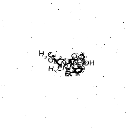 C=CC(=O)N1CCN(c2nc(=O)n(-c3c(CC)cccc3CC)c3nc(N4CCC[C@@H]4CO)c(Cl)cc23)[C@@H](C)C1